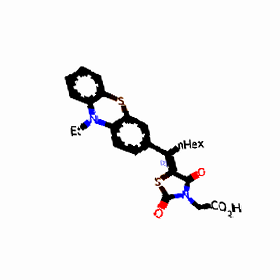 CCCCCC/C(=C1/SC(=O)N(CC(=O)O)C1=O)c1ccc2c(c1)Sc1ccccc1N2CC